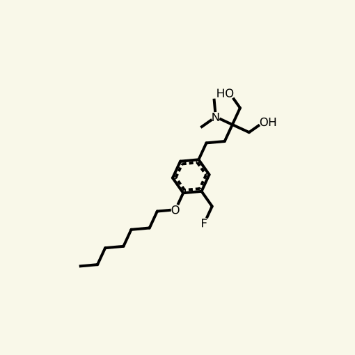 CCCCCCCOc1ccc(CCC(CO)(CO)N(C)C)cc1CF